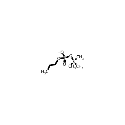 CCCOP(=O)(O)O[Si](C)(C)C